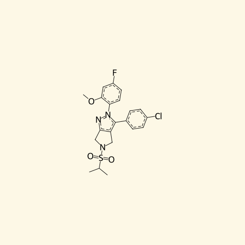 COc1cc(F)ccc1-n1nc2c(c1-c1ccc(Cl)cc1)CN(S(=O)(=O)C(C)C)C2